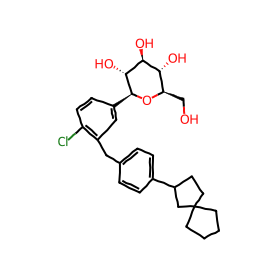 OC[C@H]1O[C@@H](c2ccc(Cl)c(Cc3ccc(C4CCC5(CCCC5)C4)cc3)c2)[C@H](O)[C@@H](O)[C@@H]1O